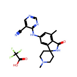 Cc1cc(Nc2ncncc2C#N)cc2c1C(=O)NC21CCN(C)CC1.O=C(O)C(F)(F)F